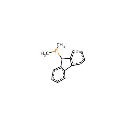 CP(C)C1c2ccccc2-c2ccccc21